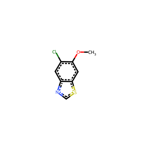 COc1cc2scnc2cc1Cl